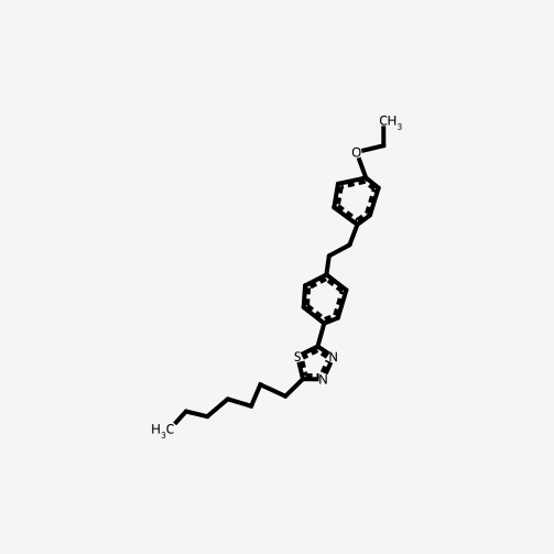 CCCCCCCc1nnc(-c2ccc(CCc3ccc(OCC)cc3)cc2)s1